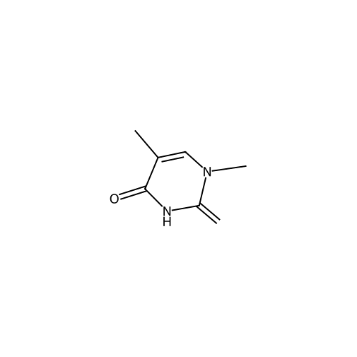 C=C1NC(=O)C(C)=CN1C